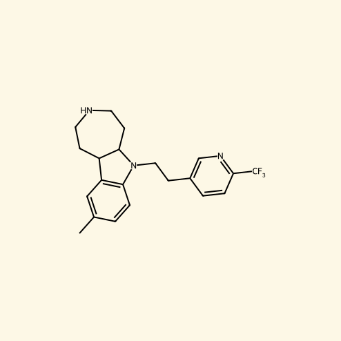 Cc1ccc2c(c1)C1CCNCCC1N2CCc1ccc(C(F)(F)F)nc1